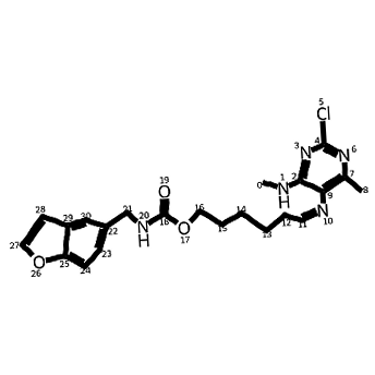 CNc1nc(Cl)nc(C)c1/N=C\CCCCCOC(=O)NCc1ccc2occc2c1